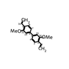 C=Cc1ccc(-c2ccc(C=C)c(OC)c2)cc1OC